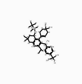 CC(C)c1nc2c(c(C3=CCC(F)(F)CC3)c1[C@H](C)c1ccc(C(F)(F)F)cn1)C(O[Si](C)(C)C(C)(C)C)CC(C)(C)C2